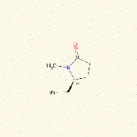 CC(C)C[C@@H]1CCC(=O)N1C